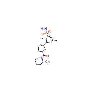 Cc1cc(-c2cccc(C(=O)N3CCCCC3C#N)c2)c(C)c(S(N)(=O)=O)c1